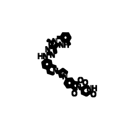 Cc1cccc(C)c1Nc1nn(C)c2nc(Nc3ccc4c(c3)CN(C3CCN(c5ccc6c(c5)C(=O)N(C5CCC(=O)NC5=O)C6=O)C3)CC4)ncc12